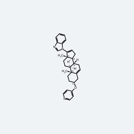 C[C@]12CC[C@H](Oc3ccncc3)CC1=CC[C@@H]1[C@@H]2CC[C@]2(C)C(n3cnc4ccccc43)=CC[C@@H]12